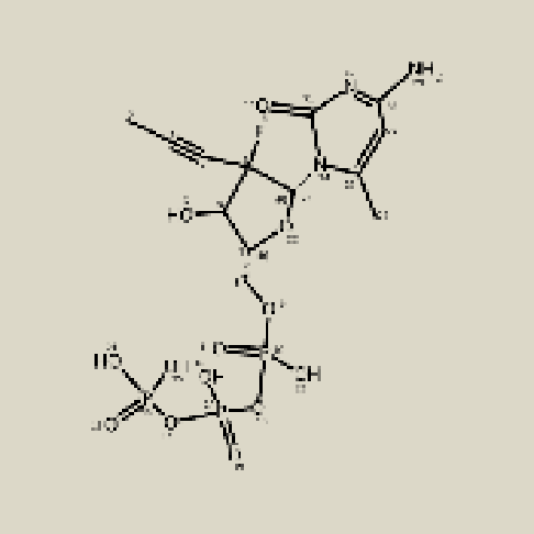 CC#CC1(F)C(O)[C@@H](COP(=O)(O)OP(=O)(O)OP(=O)(O)O)O[C@H]1n1c(C)cc(N)nc1=O